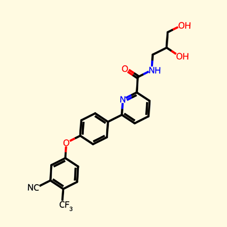 N#Cc1cc(Oc2ccc(-c3cccc(C(=O)NCC(O)CO)n3)cc2)ccc1C(F)(F)F